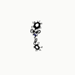 O=S(=O)(/C=C/SOOc1ccccc1)c1ccccc1